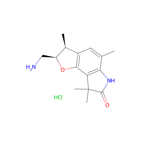 Cc1cc2c(c3c1NC(=O)C3(C)C)O[C@@H](CN)[C@H]2C.Cl